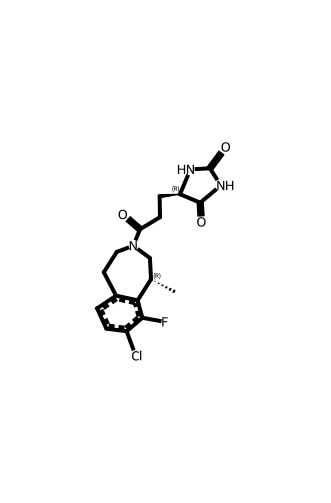 C[C@H]1CN(C(=O)CC[C@H]2NC(=O)NC2=O)CCc2ccc(Cl)c(F)c21